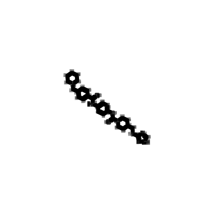 O=C(Nc1ccc(OC(=O)N2CCC(CSc3nc[nH]n3)CC2)nc1)c1ccc(CN2CCCCC2)cc1